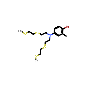 CCSCCSCCN(CCSCCSCC)c1ccc(Br)c(C)c1